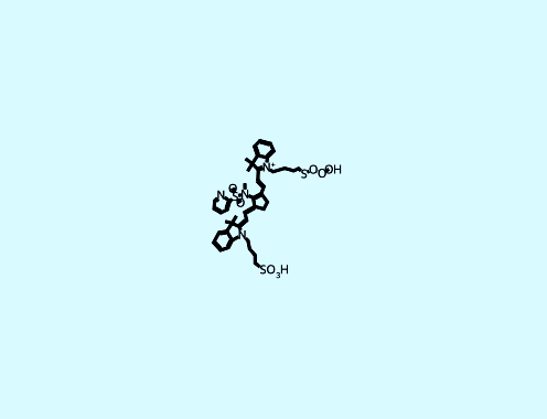 CN(C1=C(/C=C/C2=[N+](CCCCSOOO)c3ccccc3C2(C)C)CC/C1=C\C=C1\N(CCCCS(=O)(=O)O)c2ccccc2C1(C)C)S(=O)(=O)c1ccccn1